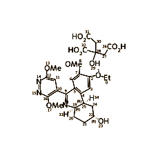 CCOc1cc2c(cc1OC)C(c1cc(OC)nnc1OC)=N[C@@H]1CC[C@@H](O)C[C@H]21.O=C(O)CC(O)(CC(=O)O)C(=O)O